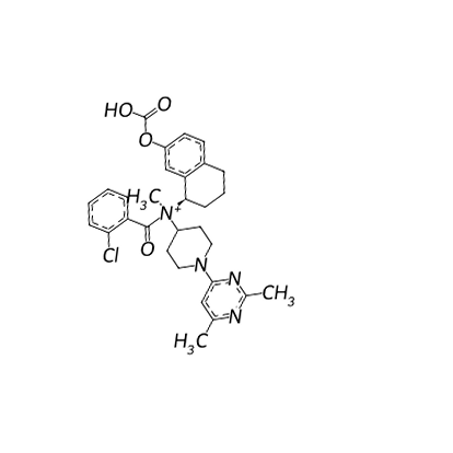 Cc1cc(N2CCC([N+](C)(C(=O)c3ccccc3Cl)[C@@H]3CCCc4ccc(OC(=O)O)cc43)CC2)nc(C)n1